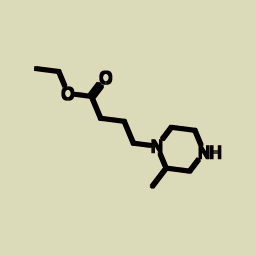 CCOC(=O)CCCN1CCNCC1C